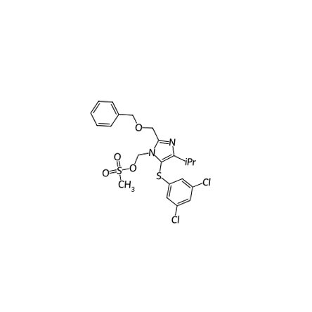 CC(C)c1nc(COCc2ccccc2)n(COS(C)(=O)=O)c1Sc1cc(Cl)cc(Cl)c1